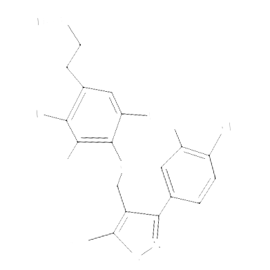 O=C(O)CCc1cc(F)c(OCc2c(-c3ccc(Cl)c(F)c3)nsc2C(F)(F)F)c(F)c1F